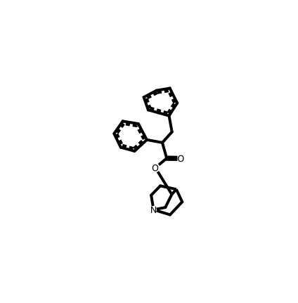 O=C(OC1CN2CCC1CC2)C(Cc1ccccc1)c1ccccc1